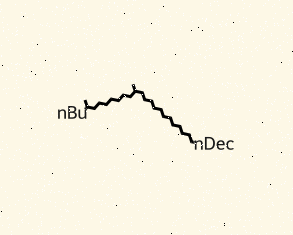 CCCCCCCCCCCCCCCCCCCCCCC(C)CCCCCCCC(C)CCCC